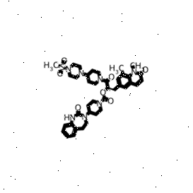 Cc1cc(C[C@@H](OC(=O)N2CCC(N3CCc4ccccc4NC3=O)CC2)C(=O)N2CCC(N3CCN(S(C)(=O)=O)CC3)CC2)cc2ccc(=O)n(C)c12